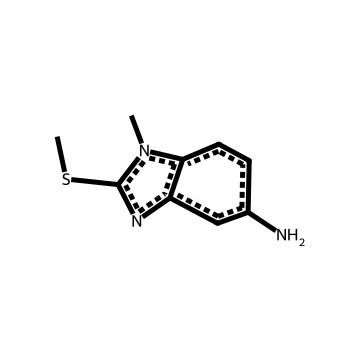 CSc1nc2cc(N)ccc2n1C